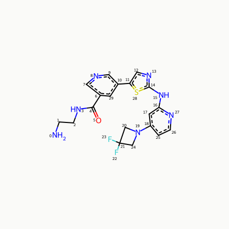 NCCNC(=O)c1cncc(-c2cnc(Nc3cc(N4CC(F)(F)C4)ccn3)s2)c1